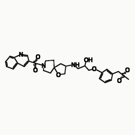 CS(=O)(=O)Cc1cccc(OCC(O)CNC2COC3(CCN(S(=O)(=O)c4cnc5ccccc5c4)CC3)C2)c1